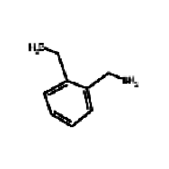 BCc1ccccc1CB